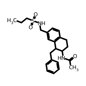 CCCS(=O)(=O)NCc1ccc2c(c1)C(Cc1ccccc1)C(NC(C)=O)CC2